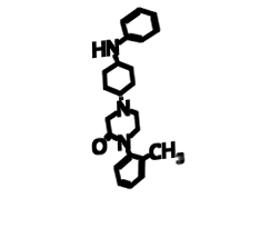 Cc1ccccc1N1CCN([C@H]2CC[C@H](Nc3ccccc3)CC2)CC1=O